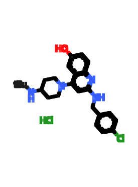 CC(C)(C)NC1CCN(c2cc(NCc3ccc(Cl)cc3)nc3ccc(O)cc23)CC1.Cl